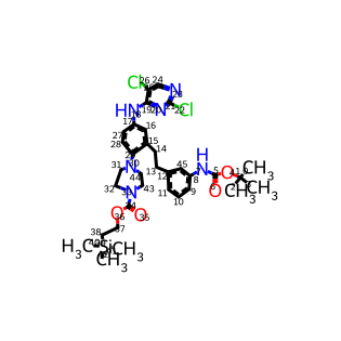 CC(C)(C)OC(=O)Nc1cccc(CCc2cc(Nc3nc(Cl)ncc3Cl)ccc2N2CCN(C(=O)OCC[Si](C)(C)C)CC2)c1